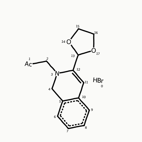 Br.CC(=O)CN1Cc2ccccc2C=C1C1OCCO1